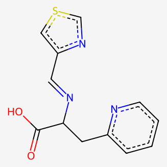 O=C(O)C(Cc1ccccn1)N=Cc1cscn1